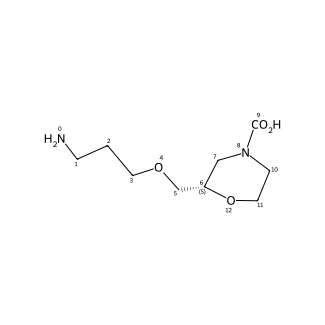 NCCCOC[C@@H]1CN(C(=O)O)CCO1